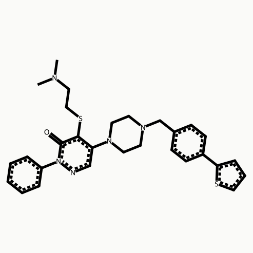 CN(C)CCSc1c(N2CCN(Cc3ccc(-c4cccs4)cc3)CC2)cnn(-c2ccccc2)c1=O